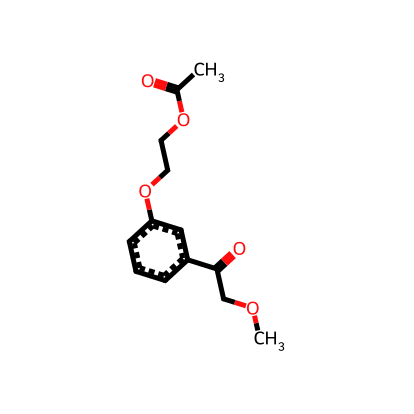 COCC(=O)c1cccc(OCCOC(C)=O)c1